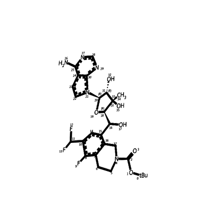 CC(C)(C)OC(=O)N1CCc2c(F)c(C(F)F)cc(C(O)[C@H]3O[C@@H](n4ccc5c(N)ncnc54)[C@H](O)[C@]3(C)O)c2C1